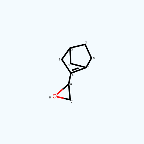 C1CC2CC1=C(C1CO1)C2